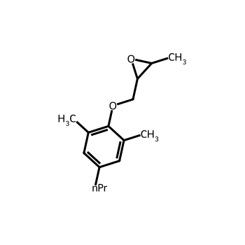 CCCc1cc(C)c(OCC2OC2C)c(C)c1